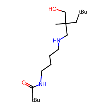 CC(C)(C)CC(C)(CO)CNCCCCNC(=O)C(C)(C)C